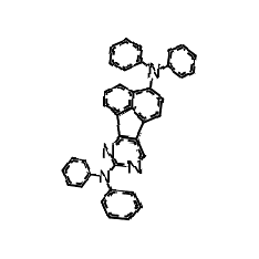 c1ccc(N(c2ccccc2)c2ncc3c(n2)-c2cccc4c(N(c5ccccc5)c5ccccc5)ccc-3c24)cc1